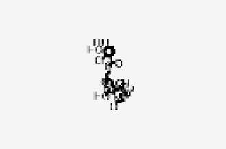 C[C@]1(C2=NOC(CCOC(=O)c3ccc(O)c(O)c3Cl)C2)[C@H](C(=O)O)N2C(=O)C[C@H]2S1(=O)=O